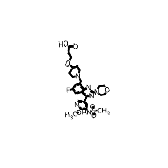 COc1ncc(-c2nc(N3CCOCC3)nc3c(CN4CCC(OCCC(=O)O)CC4)cc(F)cc23)cc1NS(C)(=O)=O